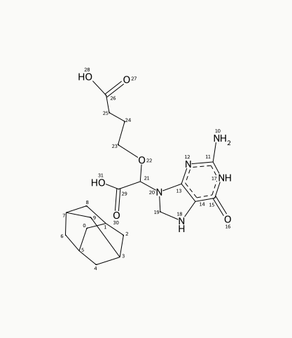 C1C2CC3CC1CC(C2)C3.Nc1nc2c(c(=O)[nH]1)NCN2C(OCCCC(=O)O)C(=O)O